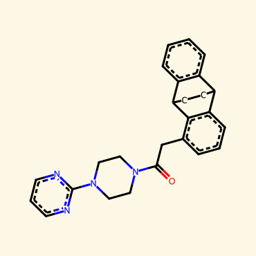 O=C(Cc1cccc2c1C1CCC2c2ccccc21)N1CCN(c2ncccn2)CC1